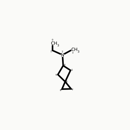 CCN(C)C1CC2(CC2)C1